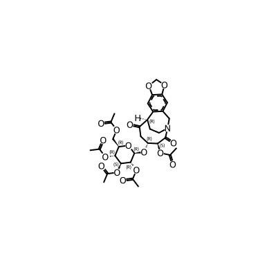 CC(=O)OC[C@H]1O[C@@H](O[C@@H]2CC(=O)[C@@H]3CCN(Cc4cc5c(cc43)OCO5)C(=O)[C@H]2OC(C)=O)[C@H](OC(C)=O)[C@@H](OC(C)=O)[C@@H]1OC(C)=O